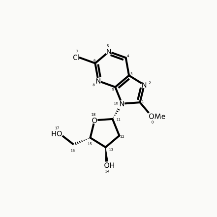 COc1nc2cnc(Cl)nc2n1[C@@H]1C[C@@H](O)[C@H](CO)O1